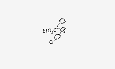 CCOC(=O)C(Cc1ccccc1)c1ccsc1-c1ccc(Cl)cc1